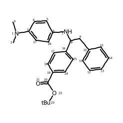 CN(C)c1ccc(NC(Cc2ccccc2)c2ccc(C(=O)OC(C)(C)C)cc2)cc1